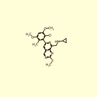 COc1cc(OC)c(Cl)c(-c2cc3cnc(SC)nc3c(CNC3CC3)n2)c1C